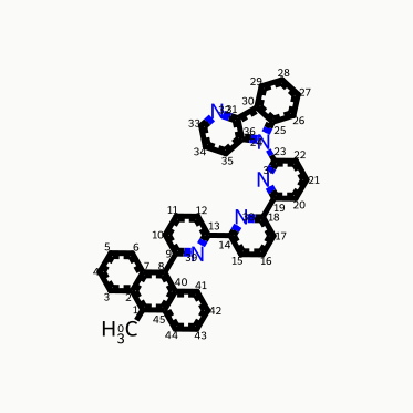 Cc1c2ccccc2c(-c2cccc(-c3cccc(-c4cccc(-n5c6ccccc6c6ncccc65)n4)n3)n2)c2ccccc12